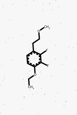 CCOc1ccc(CCOC)c(F)c1F